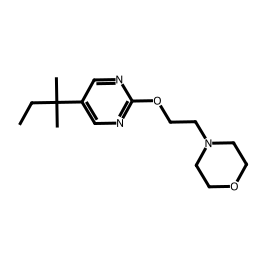 CCC(C)(C)c1cnc(OCCN2CCOCC2)nc1